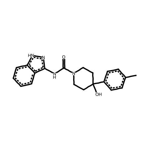 Cc1ccc(C2(O)CCN(C(=O)Nc3n[nH]c4ccccc34)CC2)cc1